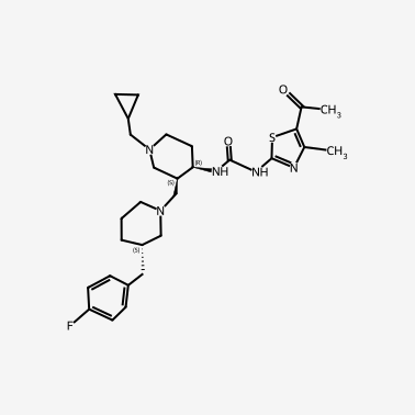 CC(=O)c1sc(NC(=O)N[C@@H]2CCN(CC3CC3)C[C@@H]2CN2CCC[C@@H](Cc3ccc(F)cc3)C2)nc1C